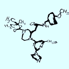 COc1ccc(CNC(=O)CC2CN(C(=O)OC(C)(C)C)CCN2c2cc(C)nc(-n3ccnc3)n2)cc1